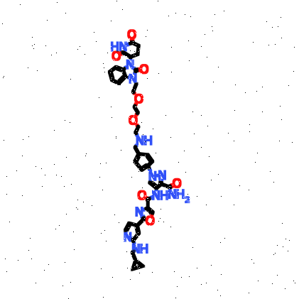 NC(=O)c1nn(-c2ccc(CNCCOCCOCCn3c(=O)n(C4CCC(=O)NC4=O)c4ccccc43)cc2)cc1NC(=O)c1coc(-c2ccnc(NCC3CC3)c2)n1